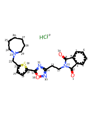 Cl.O=C1c2ccccc2C(=O)N1CCc1noc(-c2ccc(CN3CCCCCC3)s2)n1